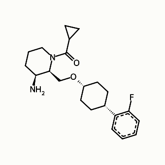 N[C@H]1CCCN(C(=O)C2CC2)[C@H]1CO[C@H]1CC[C@@H](c2ccccc2F)CC1